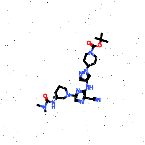 CN(C)C(=O)N[C@@H]1CCCN(c2cnc(C#N)c(Nc3cnn(C4CCN(C(=O)OC(C)(C)C)CC4)c3)n2)C1